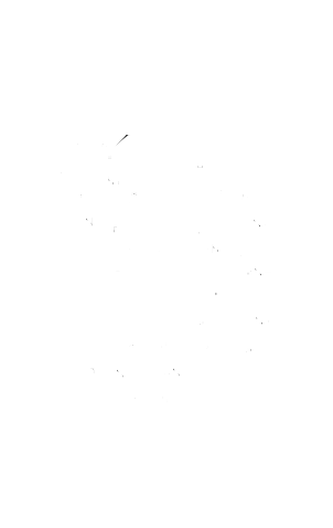 COC[C@@H]1CCc2nc3c(F)cc(-c4nc(Nc5ccc(CN6CCN(C)CC6)cn5)ncc4F)cc3n21